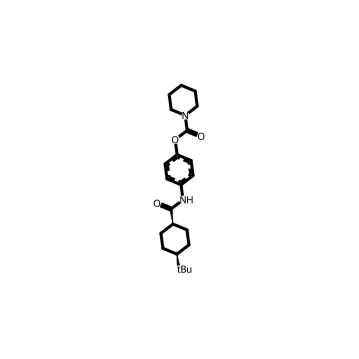 CC(C)(C)[C@H]1CC[C@@H](C(=O)Nc2ccc(OC(=O)N3CCCCC3)cc2)CC1